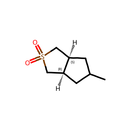 CC1C[C@@H]2CS(=O)(=O)C[C@@H]2C1